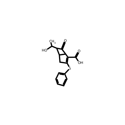 CC(O)C1C(=O)C2C(C(=O)O)=C(Sc3ccccc3)CC21